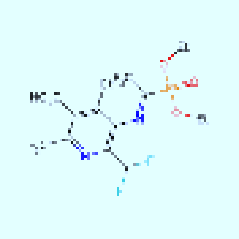 CCOP(=O)(OCC)C(=Nc1c(C(F)F)nc(C(F)(F)F)c(C(=O)O)c1CC)C(F)(F)F